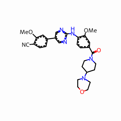 COc1cc(-c2cnc(Nc3ccc(C(=O)N4CCC(N5CCOCC5)CC4)cc3OC)nc2)ccc1C#N